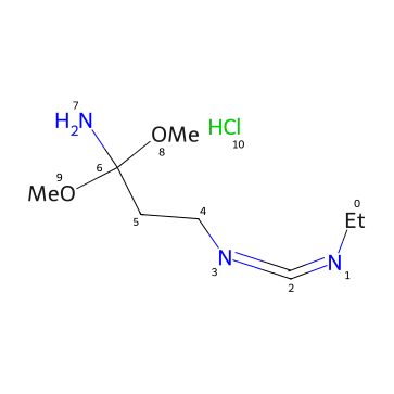 CCN=C=NCCC(N)(OC)OC.Cl